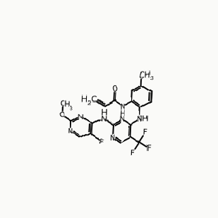 C=CC(=O)Nc1cc(C)ccc1Nc1nc(Nc2nc(OC)ncc2F)ncc1C(F)(F)F